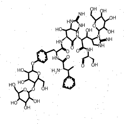 CC(c1ccccc1)[C@H](N)C(=O)N[C@@H](Cc1ccc(OC2OC(CO)C(OC3OC(CO)C(O)C(O)C3O)C(O)C2O)cc1)C(=O)N[C@H](C(=O)N[C@H](C(=O)N[C@H]([C]=O)CO)C(O)C1CNC(=N)N1C1OC(CO)C(O)C(O)C1O)C(O)C1CNC(=N)N1